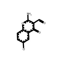 Nc1oc2ccc(Cl)cc2c(=O)c1C=O